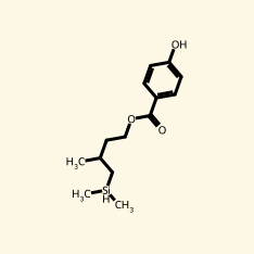 CC(CCOC(=O)c1ccc(O)cc1)C[SiH](C)C